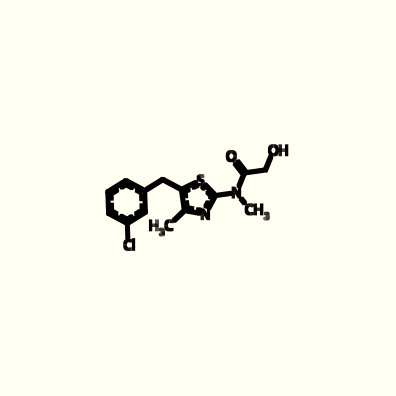 Cc1nc(N(C)C(=O)CO)sc1Cc1cccc(Cl)c1